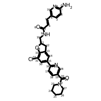 Nc1ccc(C=CC(=O)NCC2Cc3cc(-c4ccc(C(=O)N5CCCCC5)cn4)cc(Cl)c3O2)cn1